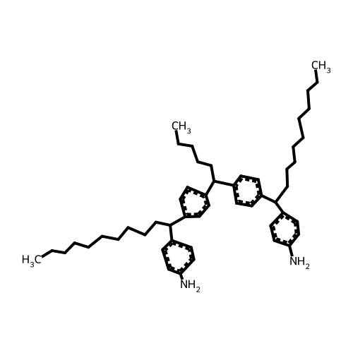 CCCCCCCCCCC(c1ccc(N)cc1)c1ccc(C(CCCCC)c2ccc(C(CCCCCCCCCC)c3ccc(N)cc3)cc2)cc1